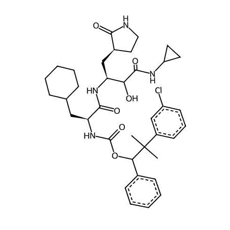 CC(C)(c1cccc(Cl)c1)C(OC(=O)N[C@@H](CC1CCCCC1)C(=O)N[C@@H](C[C@@H]1CCNC1=O)C(O)C(=O)NC1CC1)c1ccccc1